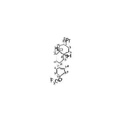 CCC[C@@H]1CC[C@@H]2C[C@H](c3ccc(OC(F)(F)F)cc3)CC[C@@H]2C1